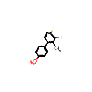 Cc1c(-c2ccc(O)cc2)ccc(F)c1Cl